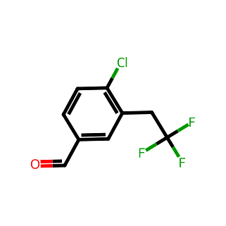 O=Cc1ccc(Cl)c(CC(F)(F)F)c1